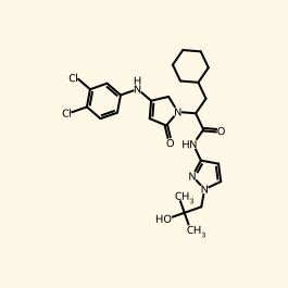 CC(C)(O)Cn1ccc(NC(=O)C(CC2CCCCC2)N2CC(Nc3ccc(Cl)c(Cl)c3)=CC2=O)n1